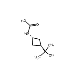 CC(C)(O)[C@H]1C[C@H](NC(=O)O)C1